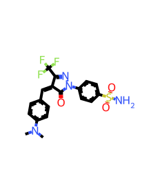 CN(C)c1ccc(/C=C2\C(=O)N(c3ccc(S(N)(=O)=O)cc3)N=C2C(F)(F)F)cc1